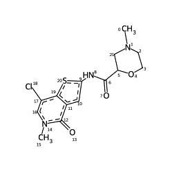 CN1CCOC(C(=O)Nc2cc3c(=O)n(C)cc(Cl)c3s2)C1